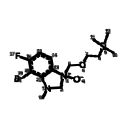 CN1C[N+]([O-])(COCC[Si](C)(C)C)c2ccc(F)c(Br)c21